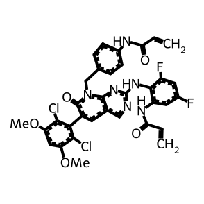 C=CC(=O)Nc1ccc(Cn2c(=O)c(-c3c(Cl)c(OC)cc(OC)c3Cl)cc3cnc(Nc4c(F)cc(F)cc4NC(=O)C=C)nc32)cc1